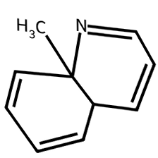 CC12C=CC=CC1C=CC=N2